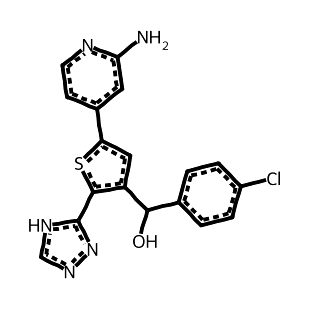 Nc1cc(-c2cc(C(O)c3ccc(Cl)cc3)c(-c3nnc[nH]3)s2)ccn1